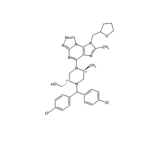 Cc1nc2c(N3C[C@@H](CO)N(C(c4ccc(Cl)cc4)c4ccc(Cl)cc4)C[C@@H]3C)nc3nncn3c2n1CC1CCCO1